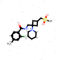 CCCS(=O)(=O)CC1CC(CNC(=O)c2ccc(C)cc2Cl)(N2CCCCC2)C1